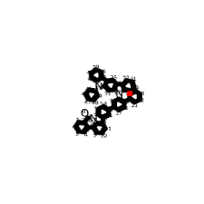 O=c1c2ccccc2c2cccc3c4cc(-c5ccc(-c6ccccc6)c(-n6c7ccccc7c7cc8c9ccccc9n(-c9ccccc9)c8cc76)c5)ccc4n1c23